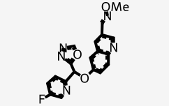 CO/N=C/c1cnc2ccc(OC(c3ccc(F)cn3)c3nnco3)cc2c1